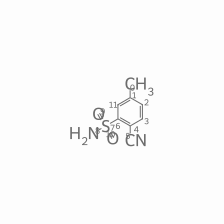 Cc1ccc(C#N)c(S(N)(=O)=O)c1